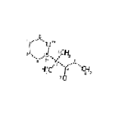 CCC(Cl)C(C)(C)[SiH]1CCCCO1